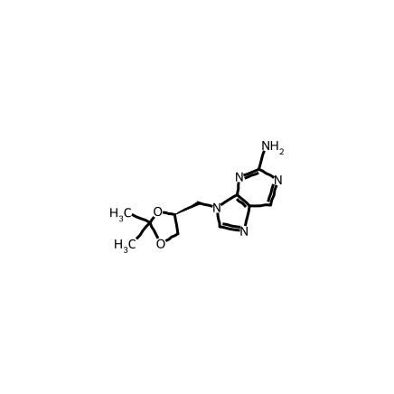 CC1(C)OC[C@H](Cn2cnc3cnc(N)nc32)O1